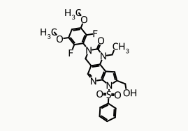 CCN1C(=O)N(c2c(F)c(OC)cc(OC)c2F)Cc2cnc3c(cc(CO)n3S(=O)(=O)c3ccccc3)c21